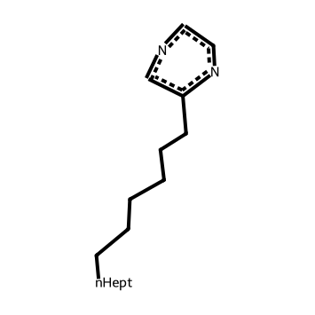 CCCCCCCCCCCCCc1cnccn1